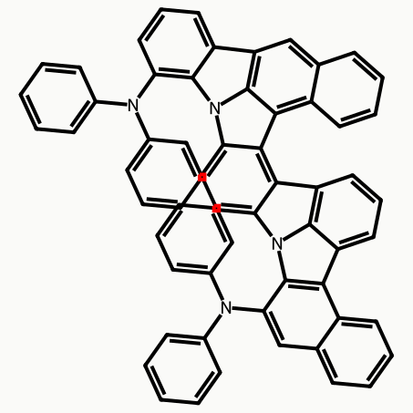 c1ccc(N(c2ccccc2)c2cc3ccccc3c3c4cccc5c6c7c8c9ccccc9cc9c%10cccc(N(c%11ccccc%11)c%11ccccc%11)c%10n(c7ccc6n(c23)c54)c98)cc1